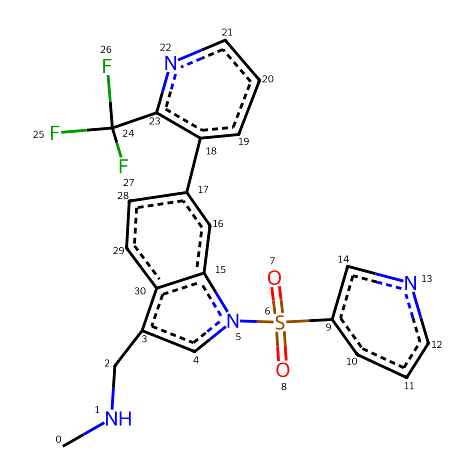 CNCc1cn(S(=O)(=O)c2cccnc2)c2cc(-c3cccnc3C(F)(F)F)ccc12